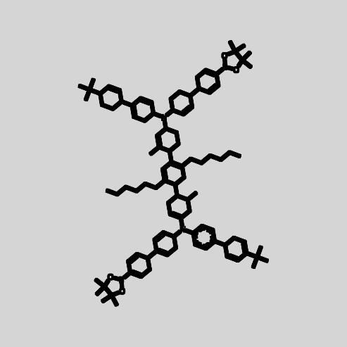 CCCCCCC1=CC(C2CCC(N(C3C=CC(C4C=CC(C(C)(C)C)CC4)=CC3)C3C=CC(C4C=CC(B5OC(C)(C)C(C)(C)O5)=CC4)CC3)C=C2C)=C(CCCCCC)CC1C1CC=C(N(c2ccc(C3C=CC(C(C)(C)C)=CC3)cc2)C2C=CC(C3C=CC(B4OC(C)(C)C(C)(C)O4)=CC3)=CC2)CC1C